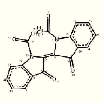 CC(=O)N1/C(=C2/C(=O)c3ccccc3N2C(C)=O)C(=O)c2ccccc21